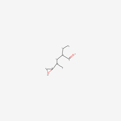 CCC(C=O)CC(C)C1CO1